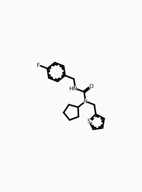 O=C(NCc1ccc(F)cc1)N(Cc1cccs1)C1CCCC1